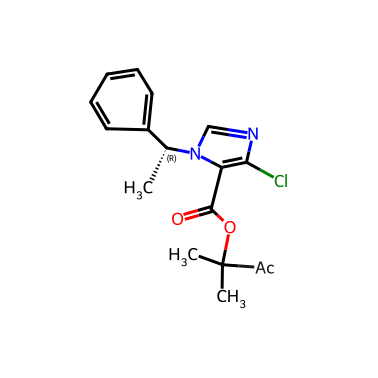 CC(=O)C(C)(C)OC(=O)c1c(Cl)ncn1[C@H](C)c1ccccc1